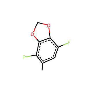 Cc1cc(F)c2c(c1F)OCO2